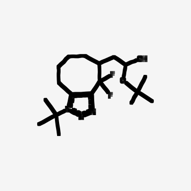 CC(C)(C)OC(O)CC1CCCCc2c(nnn2C(C)(C)C)C1(F)F